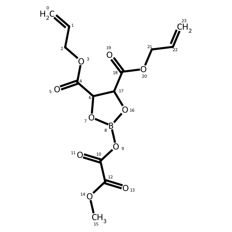 C=CCOC(=O)C1OB(OC(=O)C(=O)OC)OC1C(=O)OCC=C